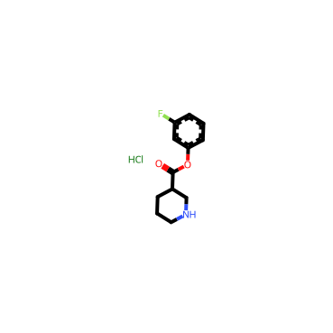 Cl.O=C(Oc1cccc(F)c1)C1CCCNC1